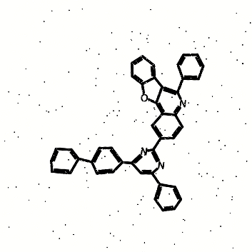 c1ccc(-c2ccc(-c3cc(-c4ccccc4)nc(-c4ccc5nc(-c6ccccc6)c6c7ccccc7oc6c5c4)n3)cc2)cc1